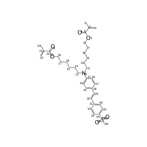 C=C(C)C(=O)OCCCCCCN(CCCCCCOC(=O)C(=C)C)c1ccc(C=Cc2ccc(S(C)(=O)=O)cc2)cc1